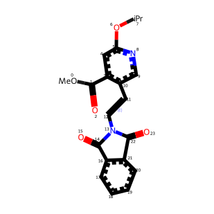 COC(=O)c1cc(OC(C)C)ncc1/C=C/N1C(=O)c2ccccc2C1=O